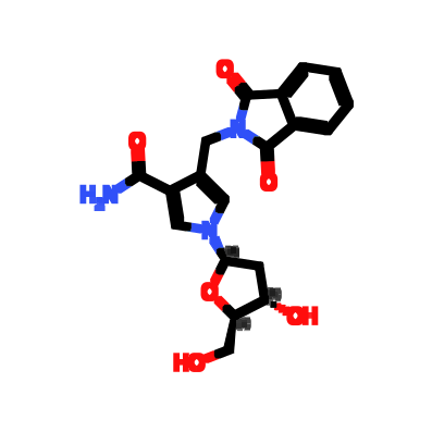 NC(=O)c1cn([C@H]2C[C@H](O)[C@@H](CO)O2)cc1CN1C(=O)c2ccccc2C1=O